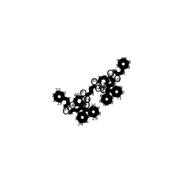 O=C(/C=C/C(=O)O[N+]1(OC(CCC2COCC(Cc3ccccc3)O2)(c2ccccc2)c2ccccc2)CCCCC1)O[N+]1(OC(CCC2COCC(Cc3ccccc3)O2)(c2ccccc2)c2ccccc2)CCCCC1